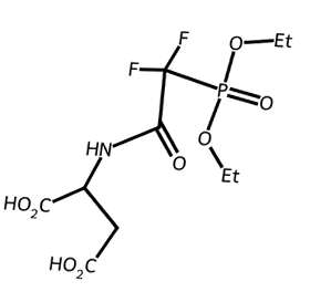 CCOP(=O)(OCC)C(F)(F)C(=O)NC(CC(=O)O)C(=O)O